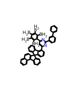 Bc1c(B)c(B)c(-c2cc(-c3cccc4c3-c3ccccc3C43c4ccccc4-c4c3ccc3ccccc43)nc(-c3cccc(-c4ccccc4)c3)n2)c(B)c1B